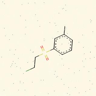 Cl.O=C(O)c1cccc(S(=O)(=O)CCCl)c1